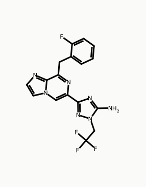 Nc1nc(-c2cn3ccnc3c(Cc3ccccc3F)n2)nn1CC(F)(F)F